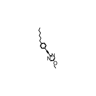 CCCCCCc1ccc(C#Cc2ncc(OCC)cn2)cc1